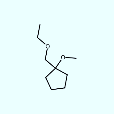 CCOCC1(OC)CCCC1